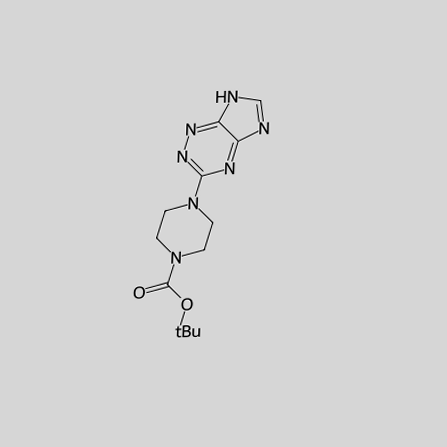 CC(C)(C)OC(=O)N1CCN(c2nnc3[nH]cnc3n2)CC1